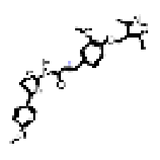 COc1ccc(-c2csc(NC(=O)/C=C/c3ccc(OCc4c(C)noc4C)c(OC)c3)n2)cc1